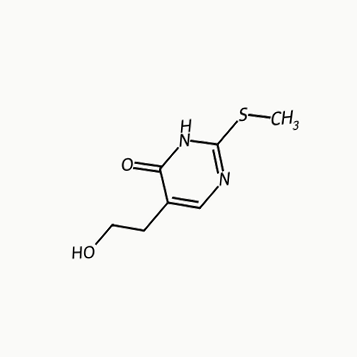 CSc1ncc(CCO)c(=O)[nH]1